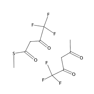 CC(=O)CC(=O)C(F)(F)F.CSC(=O)CC(=O)C(F)(F)F